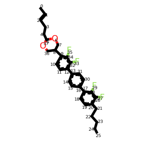 C/C=C/CCC1OCC(c2ccc(-c3ccc(-c4ccc(CCCCC)c(F)c4F)cc3)c(F)c2F)CO1